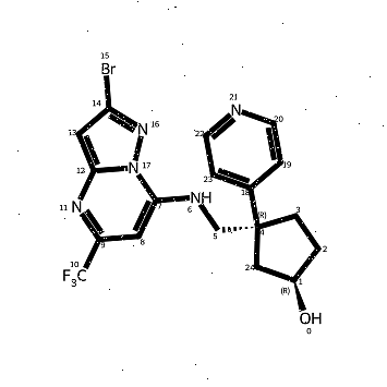 O[C@@H]1CC[C@](CNc2cc(C(F)(F)F)nc3cc(Br)nn23)(c2ccncc2)C1